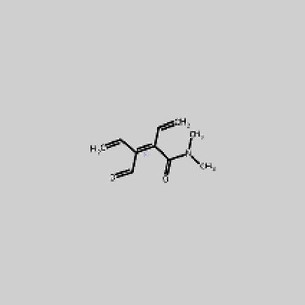 C=C/C(C=O)=C(\C=C)C(=O)N(C)C